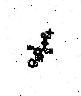 CC(C)(C)OC(=O)N1CC(C(O)c2cc(Br)cc3c2cnn3C2CCCCO2)C1